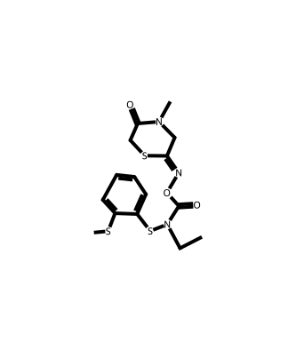 CCN(Sc1ccccc1SC)C(=O)ON=C1CN(C)C(=O)CS1